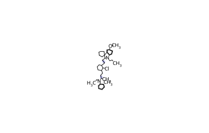 CCCN1c2ccc(OC)cc2C2(CCCCC2)C1/C=C/C1CCCC(C/C=C(\C)N(CC)c2ccccc2C)C1Cl